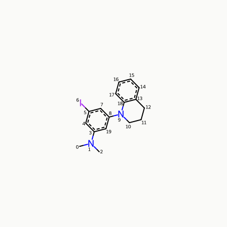 CN(C)c1cc(I)cc(N2CCCc3ccccc32)c1